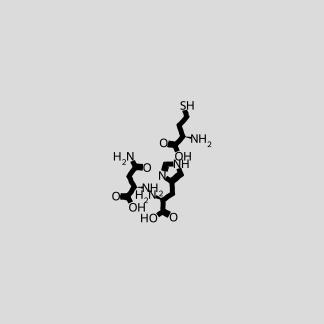 NC(=O)C[C@H](N)C(=O)O.N[C@@H](CCS)C(=O)O.N[C@@H](Cc1c[nH]cn1)C(=O)O